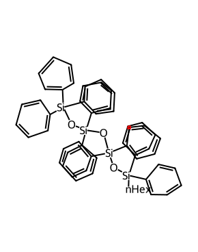 [CH2]CCCCC[Si](O[Si](O[Si](O[Si](c1ccccc1)(c1ccccc1)c1ccccc1)(c1ccccc1)c1ccccc1)(c1ccccc1)c1ccccc1)(c1ccccc1)c1ccccc1